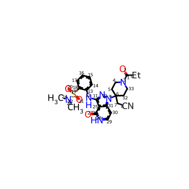 CCC(=O)N1CCC(CC#N)(n2nc(Nc3ccccc3S(=O)(=O)N(C)C)c3c(=O)[nH]ccc32)CC1